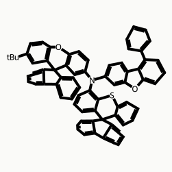 CC(C)(C)c1ccc2c(c1)C1(c3cc(N(c4ccc5c(c4)oc4cccc(-c6ccccc6)c45)c4cccc5c4Sc4ccccc4C54c5ccccc5-c5ccccc54)ccc3O2)c2ccccc2-c2ccccc21